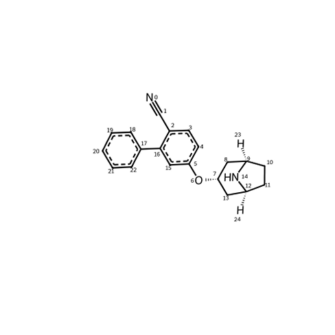 N#Cc1ccc(O[C@@H]2C[C@H]3CC[C@@H](C2)N3)cc1-c1ccccc1